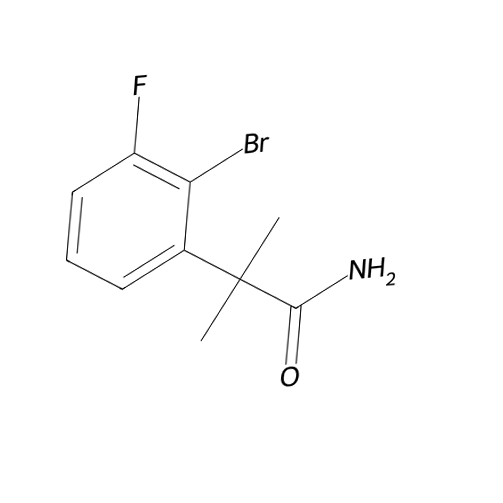 CC(C)(C(N)=O)c1cccc(F)c1Br